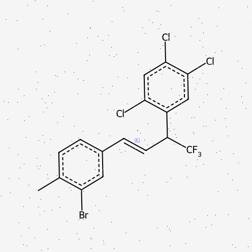 Cc1ccc(/C=C/C(c2cc(Cl)c(Cl)cc2Cl)C(F)(F)F)cc1Br